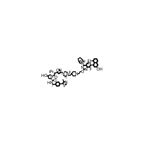 CCc1cccc2cc(O)cc(-c3ncc4c(N5CC6CCC(C5)N6)nc(OCCN5CCC(F)(CN6CCN(c7cc([C@H](C(=O)N8C[C@H](O)C[C@H]8C(=O)N[C@@H](C)c8ccc(-c9scnc9C)cc8)C(C)C)on7)C[C@H]6C)CC5)nc4c3F)c12